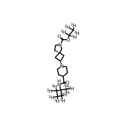 [2H]C([2H])([2H])C([2H])([2H])OC(=O)N1CC[C@]2(C1)C[C@H](N1CCC(C(=O)NC3(C([2H])([2H])[2H])C([2H])([2H])C([2H])([2H])C3([2H])[2H])CC1)C2